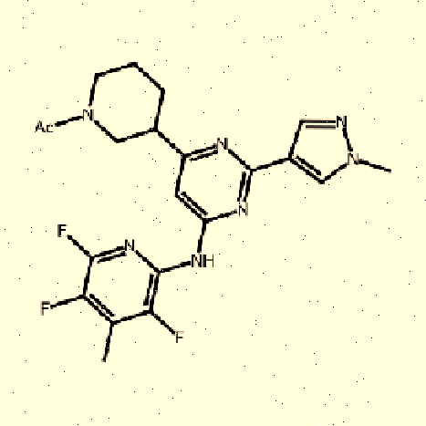 CC(=O)N1CCCC(c2cc(Nc3nc(F)c(F)c(C)c3F)nc(-c3cnn(C)c3)n2)C1